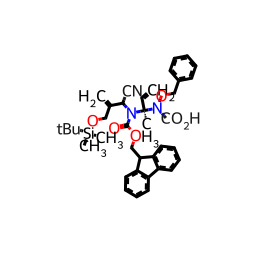 C=C[C@@](C)(N(OCc1ccccc1)C(=O)O)N(C(=O)OCC1c2ccccc2-c2ccccc21)C(C#N)C(=C)CO[Si](C)(C)C(C)(C)C